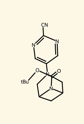 CC(C)(C)OC(=O)N1C2CC1CN(c1cnc(C#N)nc1)C2